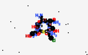 C[C@@H](O)[C@@H]1NC(=O)[C@H](CCCCN)N(C)C(=O)[C@@H](Cc2ccc(C(N)=O)cc2)NC(=O)[C@H](Cc2ccc(O)cc2)NC(=O)[C@H](NC(=O)[C@@H](N)Cc2ccc(Cl)cc2)CSSC[C@@H](C(=O)N[C@H](Cc2ccc(O)cc2)C(N)=O)NC1=O